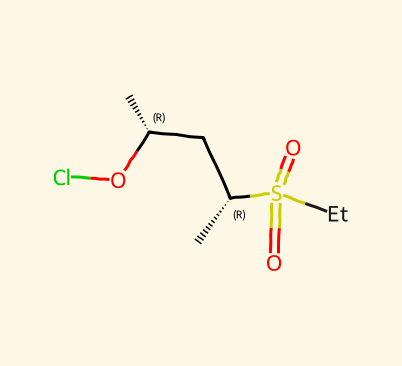 CCS(=O)(=O)[C@H](C)C[C@@H](C)OCl